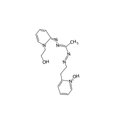 CC(N=NCCc1cccc[n+]1O)=NN=c1ccccn1CCO